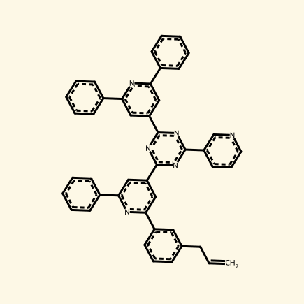 C=CCc1cccc(-c2cc(-c3nc(-c4cccnc4)nc(-c4cc(-c5ccccc5)nc(-c5ccccc5)c4)n3)cc(-c3ccccc3)n2)c1